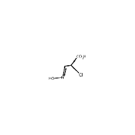 O=C(O)C(Cl)C=NO